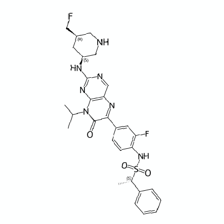 CC(C)n1c(=O)c(-c2ccc(NS(=O)(=O)[C@@H](C)c3ccccc3)c(F)c2)nc2cnc(N[C@@H]3CNC[C@H](CF)C3)nc21